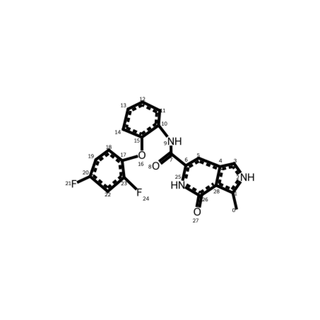 Cc1[nH]cc2cc(C(=O)Nc3ccccc3Oc3ccc(F)cc3F)[nH]c(=O)c12